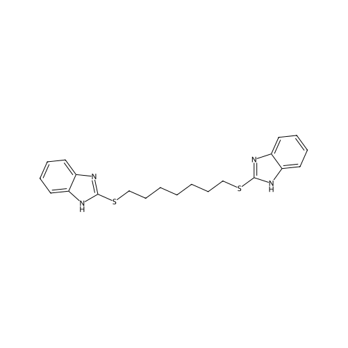 c1ccc2[nH]c(SCCCCCCCSc3nc4ccccc4[nH]3)nc2c1